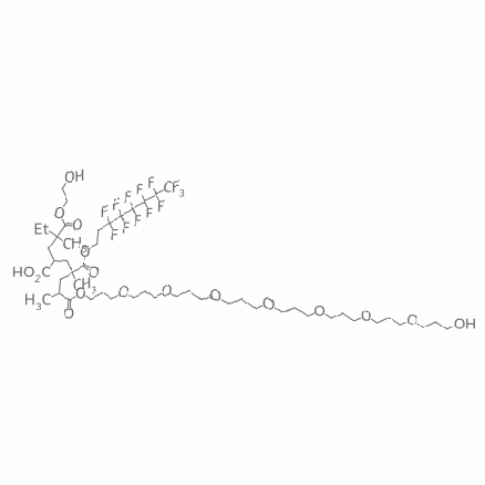 CCC(C)(CC(CC(C)(CC(C)C(=O)OCCCOCCCOCCCOCCCOCCCOCCCOCCCOCCCO)C(=O)OCCC(F)(F)C(F)(F)C(F)(F)C(F)(F)C(F)(F)C(F)(F)F)C(=O)O)C(=O)OCCO